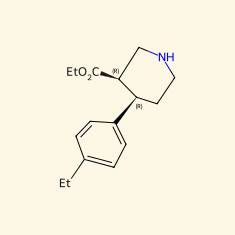 CCOC(=O)[C@H]1CNCC[C@H]1c1ccc(CC)cc1